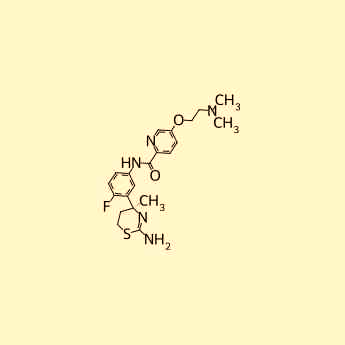 CN(C)CCOc1ccc(C(=O)Nc2ccc(F)c([C@]3(C)CCSC(N)=N3)c2)nc1